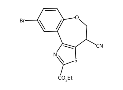 CCOC(=O)c1nc2c(s1)C(C#N)COc1ccc(Br)cc1-2